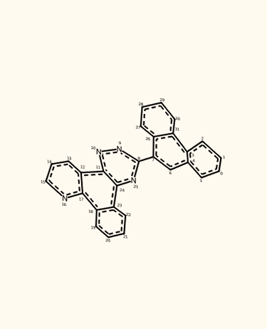 c1ccc2c(c1)cc(-c1nnc3c4cccnc4c4ccccc4c3n1)c1ccccc12